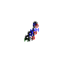 CC(C)OCCn1c(=O)c(NCCCN2CCCC2=O)nc2ccc(-c3ccc(F)c(F)c3)nc21